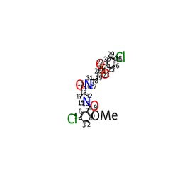 COc1ccc(Cl)cc1C(=O)N1CC[C@H](C(=O)N2CC(/C=C/S(=O)(=O)c3ccc(Cl)cc3)C2)C1